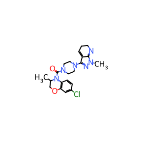 CC1COc2cc(Cl)ccc2N1C(=O)N1CCN(c2nn(C)c3c2=CCCN=3)CC1